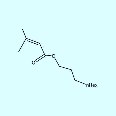 CCCCCCCCCOC(=O)C=C(C)C